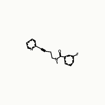 CN(CCC#Cc1ccccn1)C(=O)c1cccc(F)c1